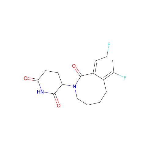 C/C(F)=C1/CCCCN(C2CCC(=O)NC2=O)C(=O)/C1=C/CF